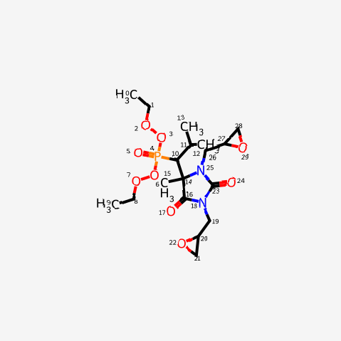 CCOOP(=O)(OOCC)C(C(C)C)C1(C)C(=O)N(CC2CO2)C(=O)N1CC1CO1